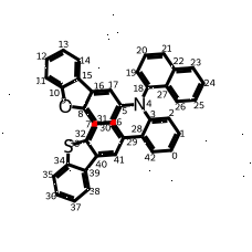 c1ccc(N(c2ccc3oc4ccccc4c3c2)c2cccc3ccccc23)c(-c2ccc3sc4ccccc4c3c2)c1